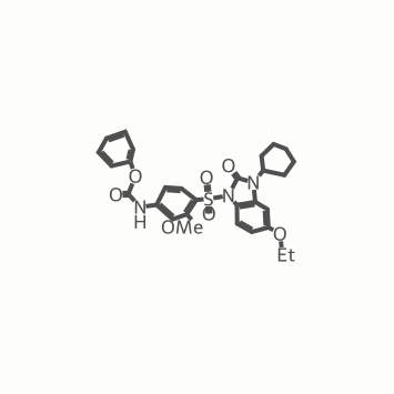 CCOc1ccc2c(c1)n(C1CCCCC1)c(=O)n2S(=O)(=O)c1ccc(NC(=O)Oc2ccccc2)cc1OC